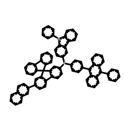 c1ccc(-c2c3ccccc3c(-c3ccc(N(c4ccc5c(c4)C4(c6ccccc6-c6ccccc64)c4cc(-c6ccc7ccccc7c6)ccc4-5)c4ccc5c(c4)c4ccccc4n5-c4ccccc4)cc3)c3ccccc23)cc1